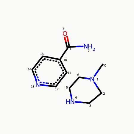 CN1CCNCC1.NC(=O)c1ccncc1